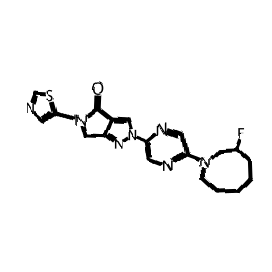 O=C1c2cn(-c3cnc(N4CCCCCC(F)C4)cn3)nc2CN1c1cncs1